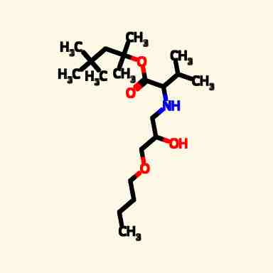 CCCCOCC(O)CNC(C(=O)OC(C)(C)CC(C)(C)C)C(C)C